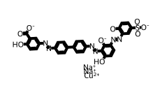 O=C([O-])c1cc(N=Nc2ccc(-c3ccc(N=Nc4c(O)ccc(N=Nc5cc(S(=O)(=O)[O-])ccc5[O-])c4[O-])cc3)cc2)ccc1O.[Cu+2].[Na+].[Na+]